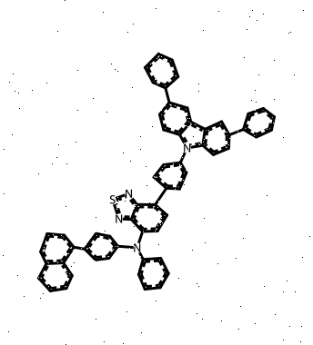 c1ccc(-c2ccc3c(c2)c2cc(-c4ccccc4)ccc2n3-c2ccc(-c3ccc(N(c4ccccc4)c4ccc(-c5cccc6ccccc56)cc4)c4nsnc34)cc2)cc1